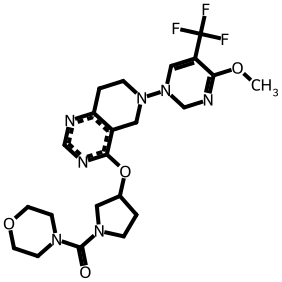 COC1=NCN(N2CCc3ncnc(OC4CCN(C(=O)N5CCOCC5)C4)c3C2)C=C1C(F)(F)F